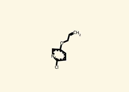 C=CCOc1ccc(Cl)nc1